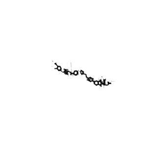 CC1(C)C(NC(=O)c2ccc(N3CCC(CCN4CCN(c5ccc6c(c5)C(=O)N(C5CCC(=O)NC5=O)C6=O)CC4)C3)cc2)C(C)(C)C1Oc1ccc(C#N)c(Cl)c1